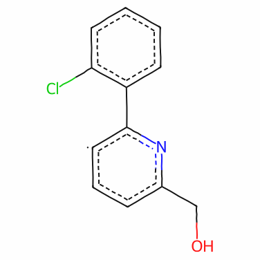 OCc1cc[c]c(-c2ccccc2Cl)n1